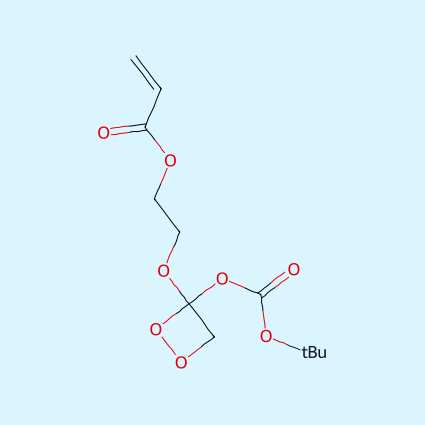 C=CC(=O)OCCOC1(OC(=O)OC(C)(C)C)COO1